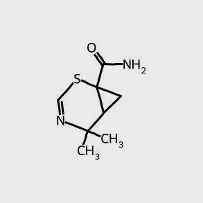 CC1(C)N=CSC2(C(N)=O)CC12